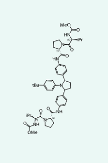 COC(=O)N[C@H](C(=O)N1CCC[C@H]1C(=O)Nc1ccc(C2CCC(c3ccc(NC(=O)[C@@H]4CCCN4C(=O)[C@@H](NC(=O)OC)C(C)C)cc3)N2c2ccc(C(C)(C)C)cc2)cc1)C(C)C